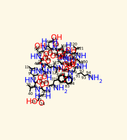 CC[C@H](C)[C@H](NC(=O)[C@H](CC(C)C)NC(=O)[C@@H](NC(=O)[C@H](CCC(=O)O)NC(=O)[C@@H](N)Cc1ccccc1)C(C)C)C(=O)N[C@H](C(=O)N[C@@H](C)C(=O)N[C@@H](CO)C(=O)N[C@@H](CC(=O)O)C(=O)N[C@@H](CC(=O)O)C(=O)NCC(=O)N[C@@H](Cc1ccccc1)C(=O)N[C@@H](CCCCN)C(=O)N[C@@H](C)C(=O)N[C@H](C(=O)N[C@H](C(=O)NCC(=O)O)C(C)C)C(C)C)[C@@H](C)CC